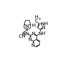 Cc1cc(Nc2nc(N[C@@H]3CC4CC[C@@H](C3)N4CCC#N)nc3ncccc23)n[nH]1